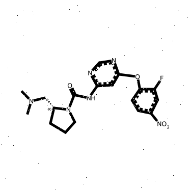 CN(C)C[C@H]1CCCN1C(=O)Nc1cc(Oc2ccc([N+](=O)[O-])cc2F)ncn1